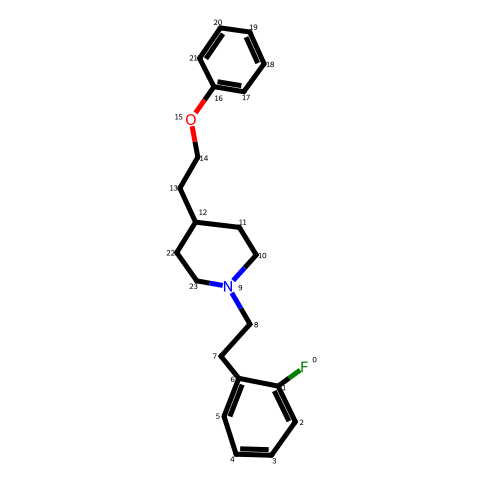 Fc1ccccc1CCN1CCC(CCOc2ccccc2)CC1